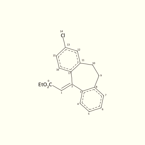 CCOC(=O)C=C1c2ccccc2CCc2cc(Cl)ccc21